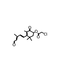 CC(C=CC1=C(C)C(=O)C(OC(=O)CCl)CC1(C)C)=CC=O